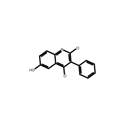 Oc1ccc2nc(Cl)c(-c3ccccc3)c(Cl)c2c1